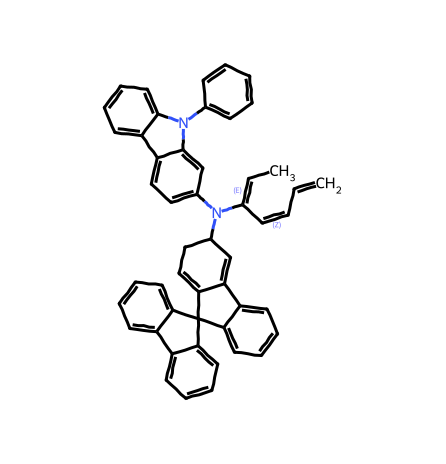 C=C/C=C\C(=C/C)N(c1ccc2c3ccccc3n(-c3ccccc3)c2c1)C1C=C2C(=CC1)C1(c3ccccc32)c2ccccc2-c2ccccc21